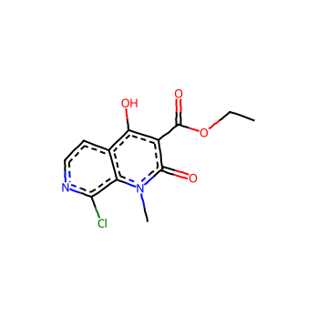 CCOC(=O)c1c(O)c2ccnc(Cl)c2n(C)c1=O